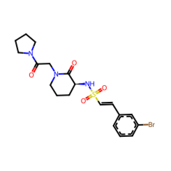 O=C(CN1CCC[C@H](NS(=O)(=O)/C=C/c2cccc(Br)c2)C1=O)N1CCCC1